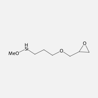 CO[SiH]CCCOCC1CO1